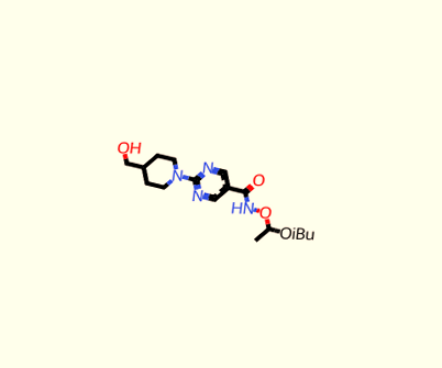 CC(C)COC(C)ONC(=O)c1cnc(N2CCC(CO)CC2)nc1